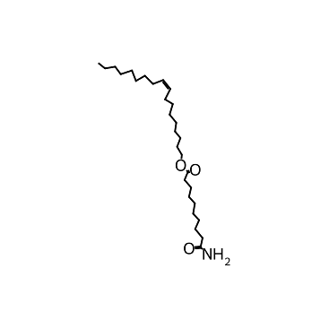 CCCCCCCC/C=C\CCCCCCCCOC(=O)CCCCCCCCC(N)=O